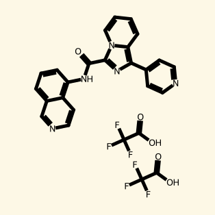 O=C(Nc1cccc2cnccc12)c1nc(-c2ccncc2)c2ccccn12.O=C(O)C(F)(F)F.O=C(O)C(F)(F)F